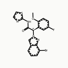 COc1ccc(F)cc1[C@H](C(=O)Nc1nccs1)n1cc2cccc(Br)c2n1